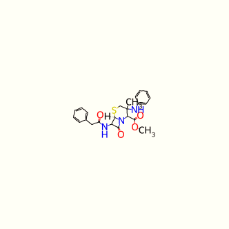 COC(=O)C1N2C(=O)C(NC(=O)Cc3ccccc3)[C@H]2SCC1(C)Nc1ccccc1